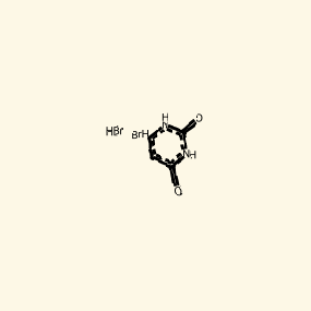 Br.Br.O=c1cc[nH]c(=O)[nH]1